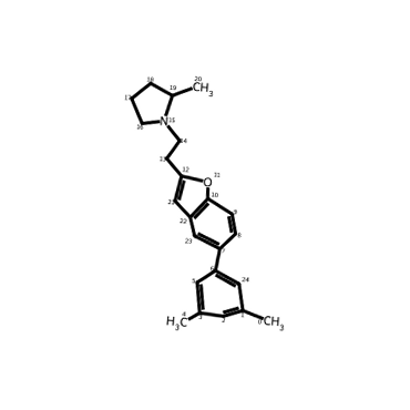 Cc1cc(C)cc(-c2ccc3oc(CCN4CCCC4C)cc3c2)c1